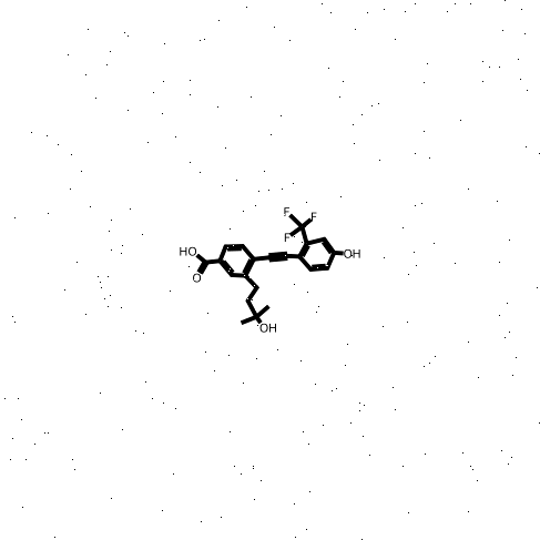 CC(C)(O)CCc1cc(C(=O)O)ccc1C#Cc1ccc(O)cc1C(F)(F)F